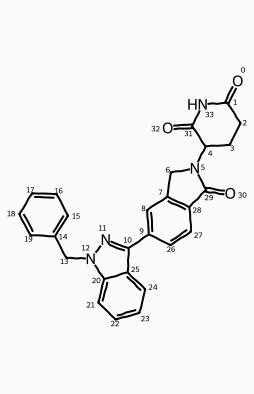 O=C1CCC(N2Cc3cc(-c4nn(Cc5ccccc5)c5ccccc45)ccc3C2=O)C(=O)N1